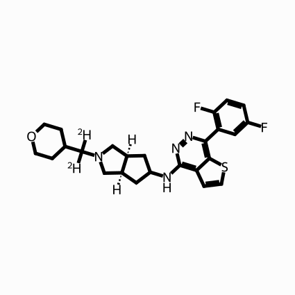 [2H]C([2H])(C1CCOCC1)N1C[C@H]2CC(Nc3nnc(-c4cc(F)ccc4F)c4sccc34)C[C@H]2C1